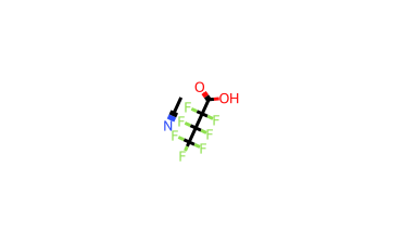 CC#N.O=C(O)C(F)(F)C(F)(F)C(F)(F)F